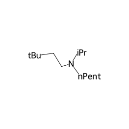 CCCCCN(CCC(C)(C)C)C(C)C